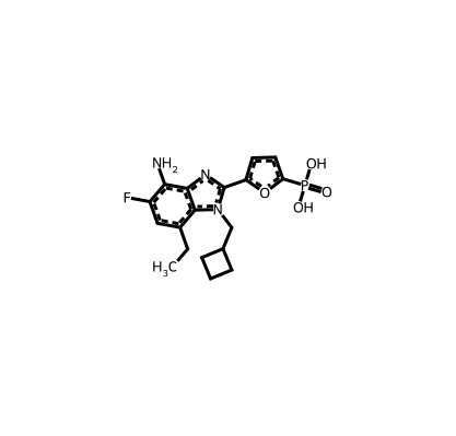 CCc1cc(F)c(N)c2nc(-c3ccc(P(=O)(O)O)o3)n(CC3CCC3)c12